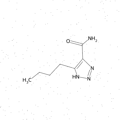 CCCCc1[nH]nnc1C(N)=O